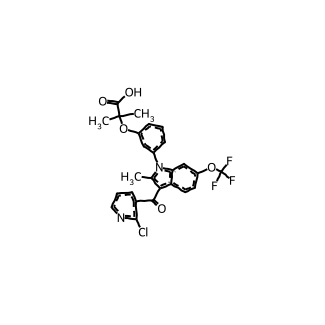 Cc1c(C(=O)c2cccnc2Cl)c2ccc(OC(F)(F)F)cc2n1-c1cccc(OC(C)(C)C(=O)O)c1